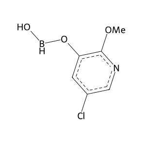 COc1ncc(Cl)cc1OBO